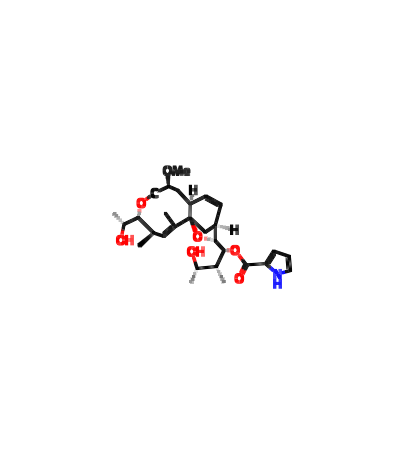 CO[C@@H]1CO[C@@H]([C@@H](C)O)[C@H](C)/C=C(\C)[C@@]23C[C@@H](C=C[C@@H]2C1)[C@H]([C@H](OC(=O)c1ccc[nH]1)[C@H](C)[C@H](C)O)O3